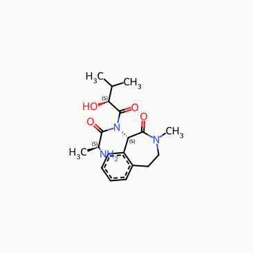 CC(C)[C@H](O)C(=O)N(C(=O)[C@H](C)N)[C@@H]1C(=O)N(C)CCc2ccccc21